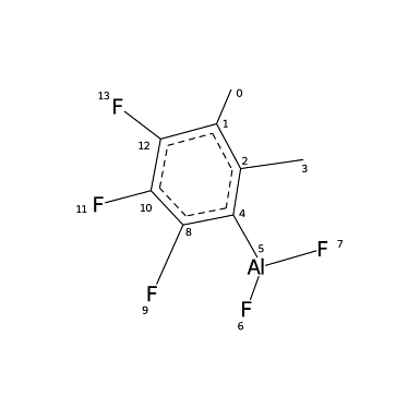 Cc1c(C)[c]([Al]([F])[F])c(F)c(F)c1F